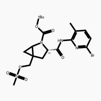 Cc1ccc(Br)nc1NC(=O)[C@@H]1CC2(COS(C)(=O)=O)CC2N1C(=O)OC(C)(C)C